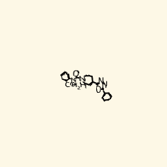 O=C(O)c1ccccc1NC(=O)N1CCC(c2nnc(-c3ccccc3)o2)CC1